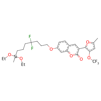 CCO[Si](C)(CCCC(F)(F)CCCOc1ccc2cc(-c3oc(C)cc3OC(F)(F)F)c(=O)oc2c1)OCC